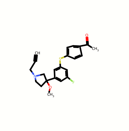 C#CCN1CCC(OC)(c2cc(F)cc(Sc3ccc(C(C)=O)cc3)c2)C1